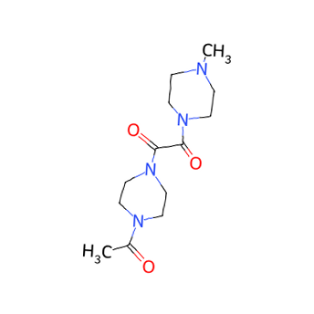 CC(=O)N1CCN(C(=O)C(=O)N2CCN(C)CC2)CC1